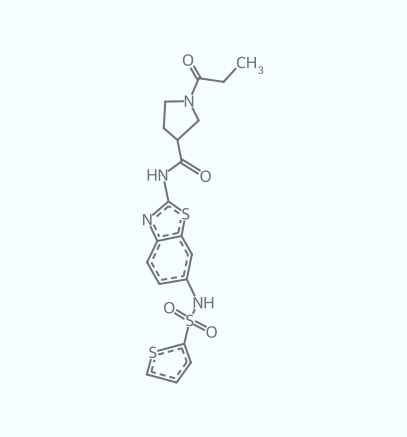 CCC(=O)N1CCC(C(=O)Nc2nc3ccc(NS(=O)(=O)c4cccs4)cc3s2)C1